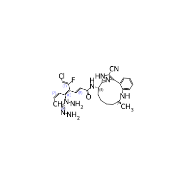 C\C=C/C(=C(/C=C/C(=O)N[C@H]1CCCC[C@H](C)Nc2ccccc2-c2nc1[nH]c2C#N)C(\F)=C\Cl)N(N)/C=N\N